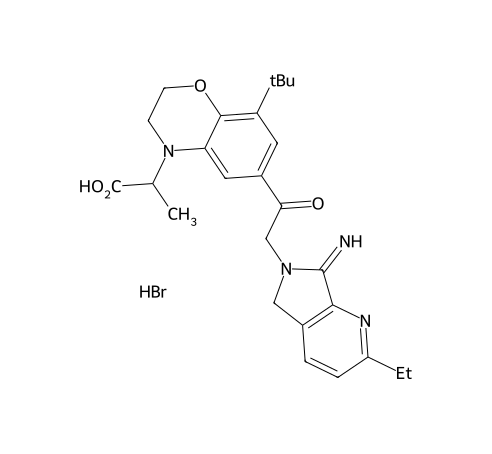 Br.CCc1ccc2c(n1)C(=N)N(CC(=O)c1cc3c(c(C(C)(C)C)c1)OCCN3C(C)C(=O)O)C2